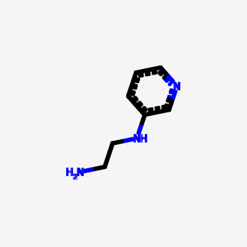 NCCNc1cccnc1